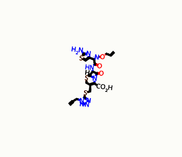 C#CCn1nnnc1SCC1=C(C(=O)O)N2C(=O)C(NC(=O)/C(=N\OCC=C)c3csc(N)n3)[C@@H]2SC1